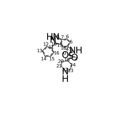 O=S(=O)(Nc1ccc2[nH]nc(-c3ccccc3)c2c1)C1CCNCC1